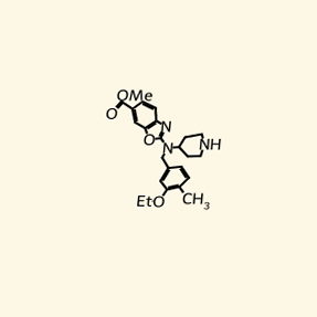 CCOc1cc(CN(c2nc3ccc(C(=O)OC)cc3o2)C2CCNCC2)ccc1C